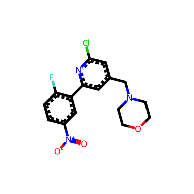 O=[N+]([O-])c1ccc(F)c(-c2cc(CN3CCOCC3)cc(Cl)n2)c1